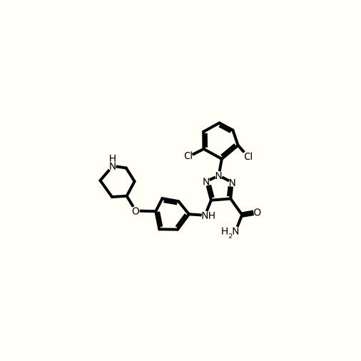 NC(=O)c1nn(-c2c(Cl)cccc2Cl)nc1Nc1ccc(OC2CCNCC2)cc1